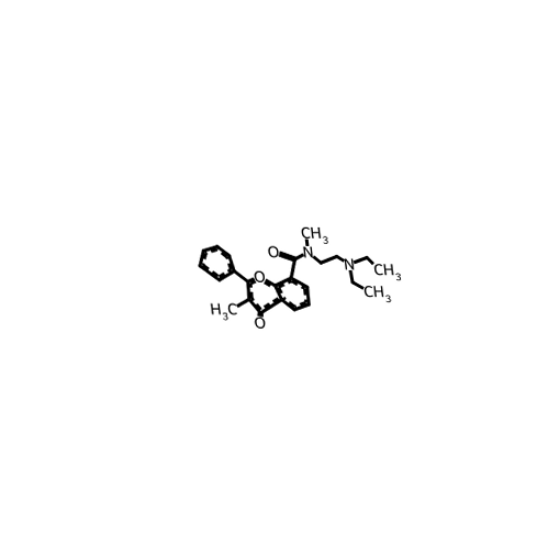 CCN(CC)CCN(C)C(=O)c1cccc2c(=O)c(C)c(-c3ccccc3)oc12